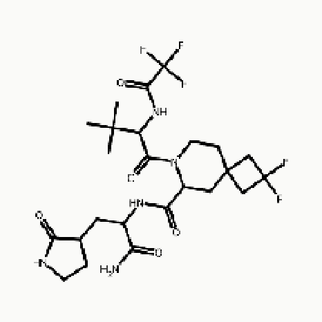 CC(C)(C)C(NC(=O)C(F)(F)F)C(=O)N1CCC2(CC1C(=O)NC(CC1CCNC1=O)C(N)=O)CC(F)(F)C2